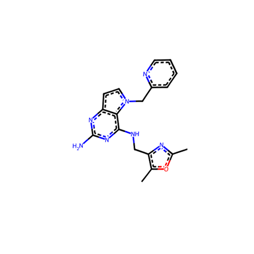 Cc1nc(CNc2nc(N)nc3ccn(Cc4ccccn4)c23)c(C)o1